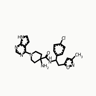 Cc1cc(CC(NC(=O)C2(N)CCN(c3ncnc4[nH]ccc34)CC2)c2ccc(Cl)cc2)on1